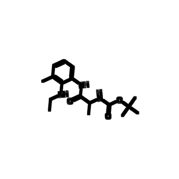 CCNc1c(C)cccc1NC(=O)C(C)NC(=O)OC(C)(C)C